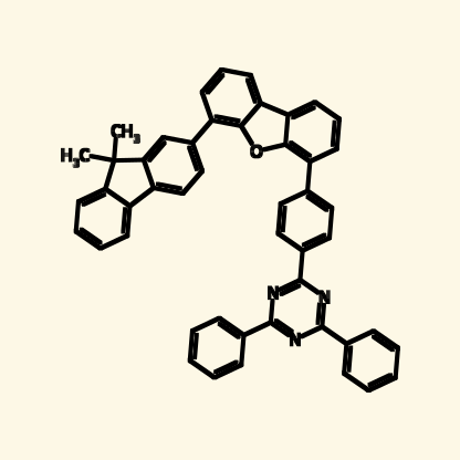 CC1(C)c2ccccc2-c2ccc(-c3cccc4c3oc3c(-c5ccc(-c6nc(-c7ccccc7)nc(-c7ccccc7)n6)cc5)cccc34)cc21